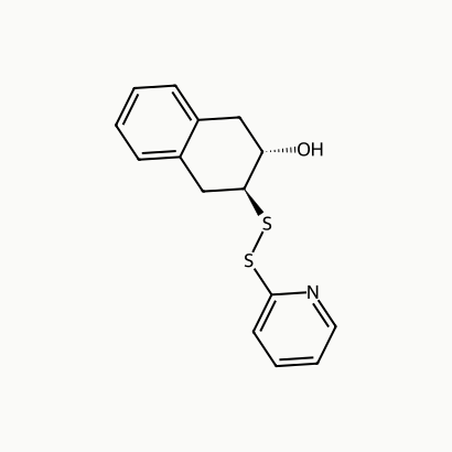 O[C@H]1Cc2ccccc2C[C@@H]1SSc1ccccn1